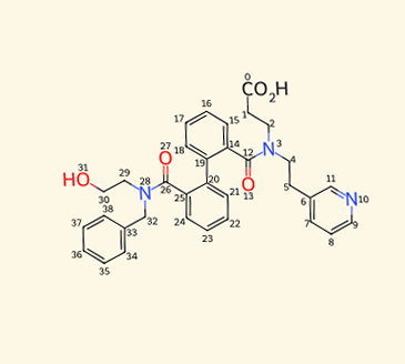 O=C(O)CCN(CCc1cccnc1)C(=O)c1ccccc1-c1ccccc1C(=O)N(CCO)Cc1ccccc1